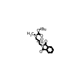 CN(C[C@H](O)CN1C(=O)c2ccccc2C1=O)C(=O)OC(C)(C)C